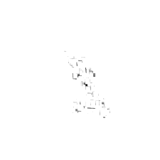 CNCC(=O)OCc1cccnc1N(C)C(=O)OC(C)n1nc(Br)c(C(=O)Nc2ccc(F)cc2F)n1